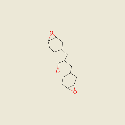 O=[C]C(CC1CCC2OC2C1)CC1CCC2OC2C1